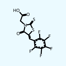 O=C(O)CN1C(=O)C(=Cc2c(F)c(F)c(F)c(F)c2F)SC1=S